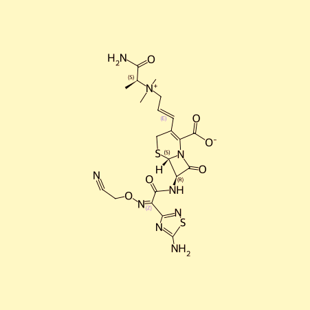 C[C@@H](C(N)=O)[N+](C)(C)C/C=C/C1=C(C(=O)[O-])N2C(=O)[C@@H](NC(=O)/C(=N\OCC#N)c3nsc(N)n3)[C@@H]2SC1